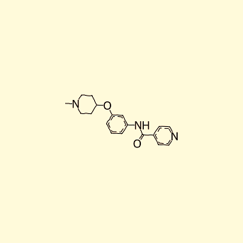 CN1CCC(Oc2cccc(NC(=O)c3ccncc3)c2)CC1